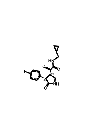 O=C(NCC1CC1)C(=O)[C@H]1CNC(=O)[C@@H]1c1ccc(F)cc1